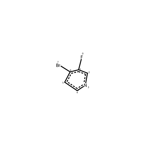 Fc1cn[c]cc1Br